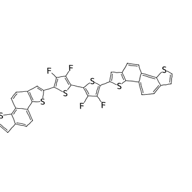 Fc1c(-c2cc3ccc4c(ccc5ccsc54)c3s2)sc(-c2sc(-c3cc4ccc5c(ccc6ccsc65)c4s3)c(F)c2F)c1F